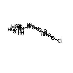 O=C(O)CC[C@H](NC(=O)NCCCCn1cc(COCCOCOCCCC(=O)NCCOCCOCCCCCl)nn1)C(=O)O